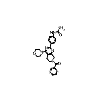 NC(=O)Nc1ccc(-c2nc3c(c(N4CCOCC4)n2)CCN(C(=O)c2cnccn2)C3)cc1